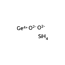 [Ge+4].[O-2].[O-2].[SiH4]